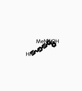 CNc1nnc(-c2ccccc2O)cc1N1CCN(C2CCN(CCN3CCNCC3)CC2)CC1